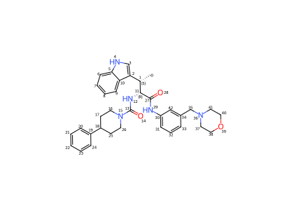 C[C@@H](c1c[nH]c2ccccc12)[C@@H](NC(=O)N1CCC(c2ccccc2)CC1)C(=O)Nc1cccc(CN2CCOCC2)c1